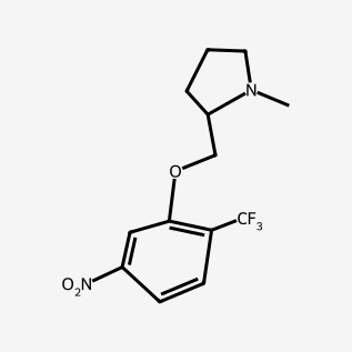 CN1CCCC1COc1cc([N+](=O)[O-])ccc1C(F)(F)F